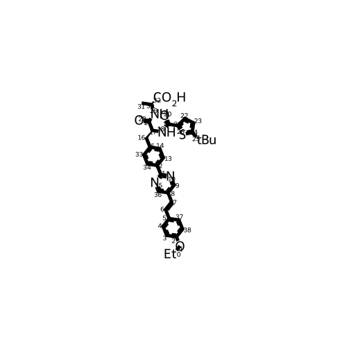 CCOc1ccc(/C=C/c2cnc(-c3ccc(C[C@H](NC(=O)c4ccc(C(C)(C)C)s4)C(=O)N[C@H](C)C(=O)O)cc3)nc2)cc1